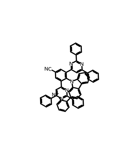 N#Cc1cc(-c2cc(-c3ccccc3)nc(-c3ccccc3)n2)c(-n2c3ccccc3c3ccc(-c4ccccc4C#N)cc32)c(-c2cc(-c3ccccc3)nc(-c3ccccc3)n2)c1